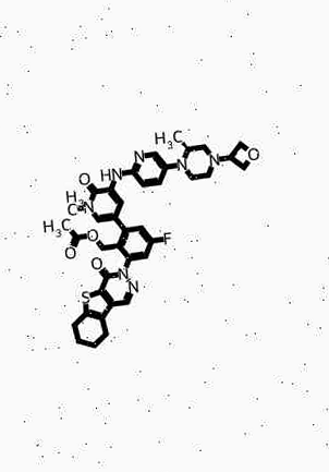 CC(=O)OCc1c(-c2cc(Nc3ccc(N4CCN(C5COC5)C[C@@H]4C)cn3)c(=O)n(C)c2)cc(F)cc1-n1ncc2c3c(sc2c1=O)CCCC3